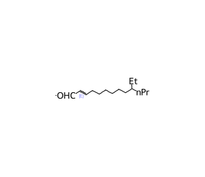 CCCC(CC)CCCCCC/C=C/[C]=O